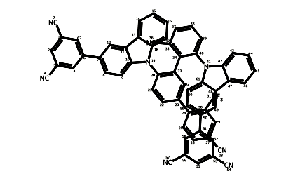 N#Cc1cc(C#N)cc(-c2ccc3c(c2)c2ccccc2n3-c2ccc(-c3ccc(C#N)cc3C(F)(F)F)cc2-c2c(C#N)cccc2-n2c3ccccc3c3cc(-c4cc(C#N)cc(C#N)c4)ccc32)c1